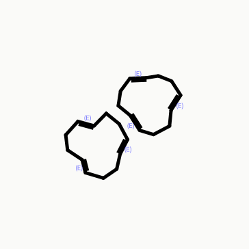 C1=C/CC/C=C/CC/C=C/CC/1.C1=C/CC/C=C/CC/C=C/CC/1